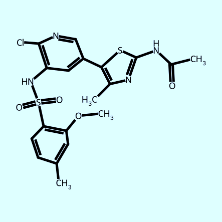 COc1cc(C)ccc1S(=O)(=O)Nc1cc(-c2sc(NC(C)=O)nc2C)cnc1Cl